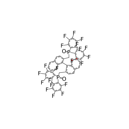 O=P(Cc1ccc2ccccc2c1-c1c(CP(=O)(c2c(F)c(F)c(F)c(F)c2F)c2c(F)c(F)c(F)c(F)c2F)ccc2ccccc12)(c1c(F)c(F)c(F)c(F)c1F)c1c(F)c(F)c(F)c(F)c1F